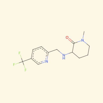 CN1CCCC(NCc2ccc(C(F)(F)F)cn2)C1=O